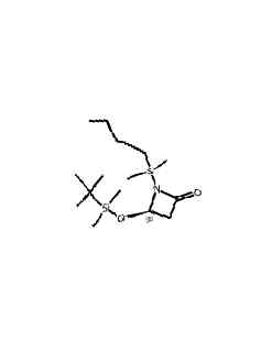 CCCC[Si](C)(C)N1C(=O)C[C@H]1O[Si](C)(C)C(C)(C)C